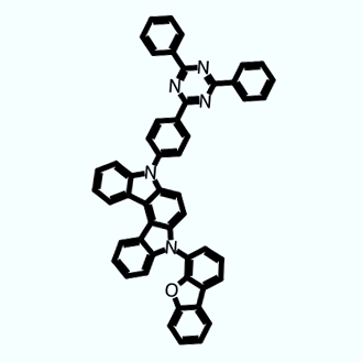 c1ccc(-c2nc(-c3ccccc3)nc(-c3ccc(-n4c5ccccc5c5c6c7ccccc7n(-c7cccc8c7oc7ccccc78)c6ccc54)cc3)n2)cc1